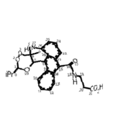 CC(C)C1OOC(C)(C)C(c2c3ccccc3c(C(=O)NCCC(=O)O)c3cccc(N)c23)O1